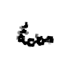 CCNC(=O)Nc1ncc(CC2CCN(c3ccc(-n4cccn4)nc3F)CC2)s1